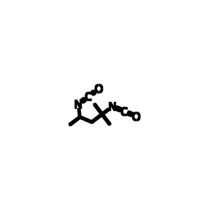 CC(CC(C)(C)N=C=O)N=C=O